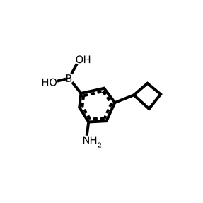 Nc1cc(B(O)O)cc(C2CCC2)c1